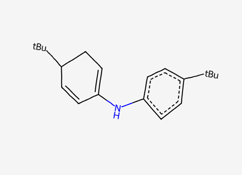 CC(C)(C)c1ccc(NC2=CCC(C(C)(C)C)C=C2)cc1